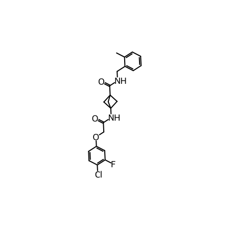 Cc1ccccc1CNC(=O)C12CC(NC(=O)COc3ccc(Cl)c(F)c3)(C1)C2